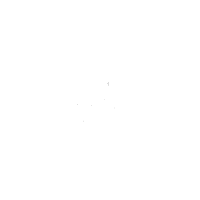 CC(=O)O.[Cl][V]